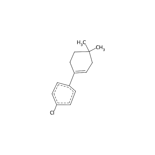 CC1(C)CC=C(c2ccc(Cl)cc2)CC1